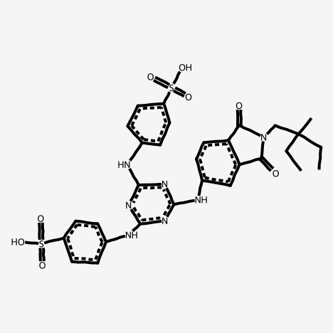 CCC(C)(CC)CN1C(=O)c2ccc(Nc3nc(Nc4ccc(S(=O)(=O)O)cc4)nc(Nc4ccc(S(=O)(=O)O)cc4)n3)cc2C1=O